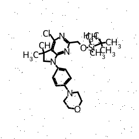 CC1(C)CN(c2ccc(N3CCOCC3)cc2)c2nc(CO[Si](C)(C)C(C)(C)C)nc(Cl)c21